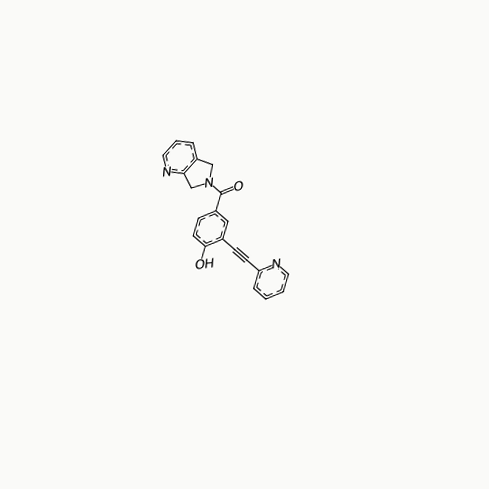 O=C(c1ccc(O)c(C#Cc2ccccn2)c1)N1Cc2cccnc2C1